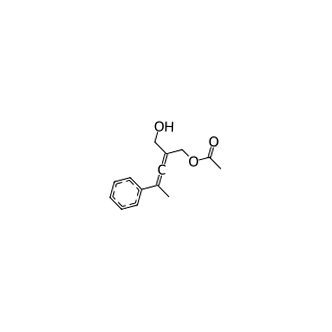 CC(=O)OCC(=C=C(C)c1ccccc1)CO